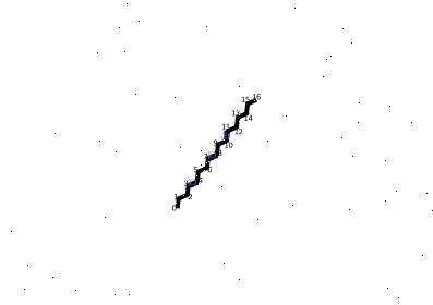 CCC/C=C/CC/C=C/C/C=C/CCCCC